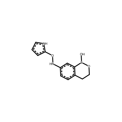 OB1OCCc2ccc(NOc3ccc[nH]3)cc21